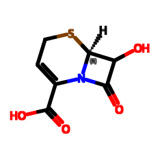 O=C(O)C1=CCS[C@H]2C(O)C(=O)N12